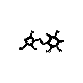 CC(=O)n1nc(C(C)(C)C)c(C#N)c1N=Nc1c(O)n(C(C)C)c(=O)n(C(C)C)c1=O